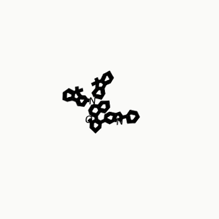 CC1(C)c2ccccc2-c2ccc(N(c3ccc4c(c3)C(C)(C)c3ccccc3-4)c3cc4oc5cccc(-c6ccc7c(c6)N=C(c6ccccc6)C7)c5c4c4ccccc34)cc21